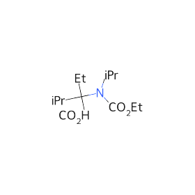 CCOC(=O)N(C(C)C)C(CC)(C(=O)O)C(C)C